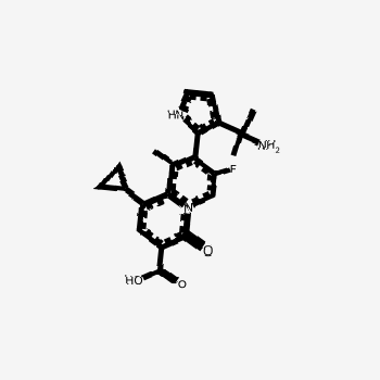 Cc1c(-c2[nH]ccc2C(C)(C)N)c(F)cn2c(=O)c(C(=O)O)cc(C3CC3)c12